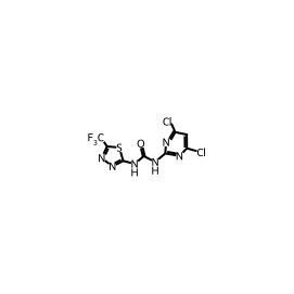 O=C(Nc1nc(Cl)cc(Cl)n1)Nc1nnc(C(F)(F)F)s1